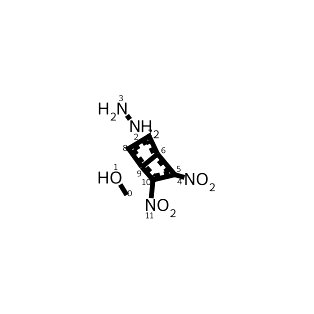 CO.NN.O=[N+]([O-])c1c2ccc-2c1[N+](=O)[O-]